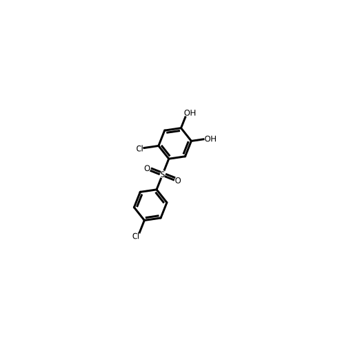 O=S(=O)(c1ccc(Cl)cc1)c1cc(O)c(O)cc1Cl